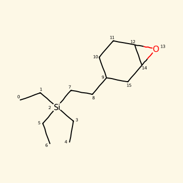 CC[Si](CC)(CC)CCC1CCC2OC2C1